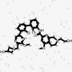 COc1cc(C(=O)Nc2cccc(-c3cccc(-c4cnc(CN5CC(O)C5)c(OC)n4)c3Cl)c2Cl)nc2c1CCN(CCO)C2